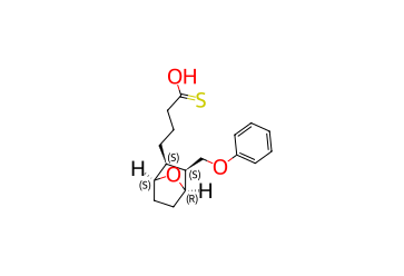 OC(=S)CCC[C@H]1[C@@H](COc2ccccc2)[C@H]2CC[C@@H]1O2